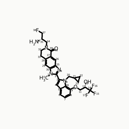 Cn1c(-c2cc3cccc(OC[C@H](O)C(F)(F)F)c3n2CC2CC2)nc2cc3c(cc21)CCN(C[C@H](N)CF)C3=O